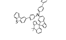 CC1(C)c2ccccc2C2(c3ccccc3-c3ccc(N(c4ccc(-c5ccccc5)cc4)c4ccc(-c5ccc6sc7ccccc7c6c5)cc4)cc32)c2ccccc21